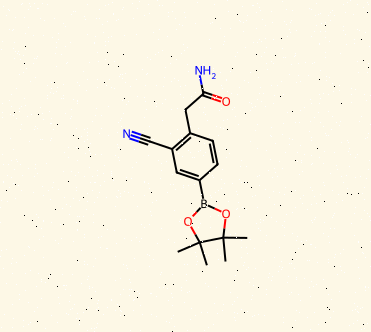 CC1(C)OB(c2ccc(CC(N)=O)c(C#N)c2)OC1(C)C